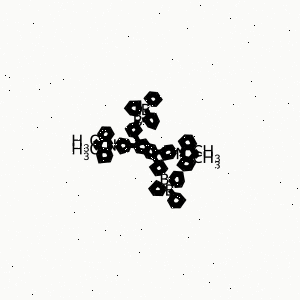 CC1(C)c2ccccc2N(c2ccc(-c3cc4cc(-c5cccc(B6c7ccccc7B(c7ccccc7)c7ccccc76)c5)c(-c5ccc(N6c7ccccc7C(C)(C)c7ccccc76)cc5)cc4cc3-c3ccc(B4c5ccccc5B(c5ccccc5)c5ccccc54)cc3)cc2)c2ccccc21